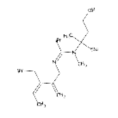 C=C(C/N=C(/C(C)C)N(C)C(C)(CCO)C(C)(C)C)/C(=C\C)CC(C)C